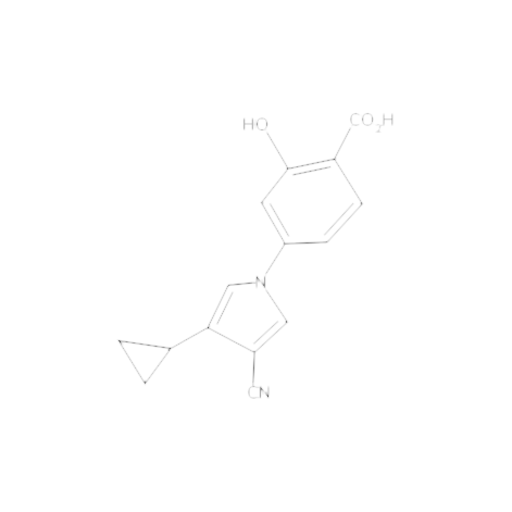 N#Cc1cn(-c2ccc(C(=O)O)c(O)c2)cc1C1CC1